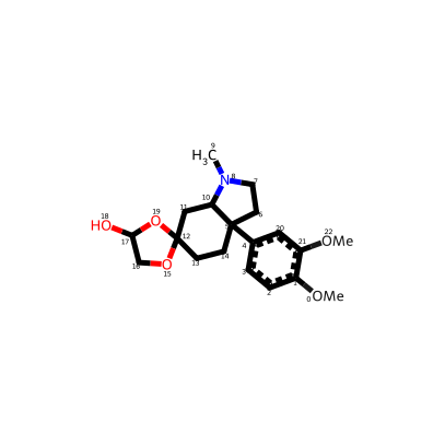 COc1ccc(C23CCN(C)C2CC2(CC3)OCC(O)O2)cc1OC